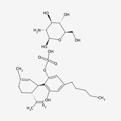 C=C(C)[C@@H]1CCC(C)=C[C@H]1c1c(O)cc(CCCCC)cc1OS(=O)(=O)O.N[C@@H]1[C@@H](O)[C@H](O)[C@@H](CO)O[C@H]1O